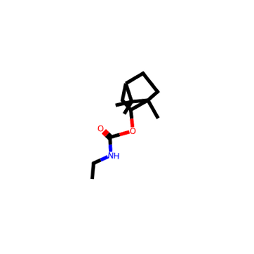 CCNC(=O)OC1CC2CCC1(C)C2(C)C